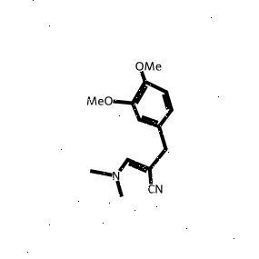 COc1ccc(CC(C#N)=CN(C)C)cc1OC